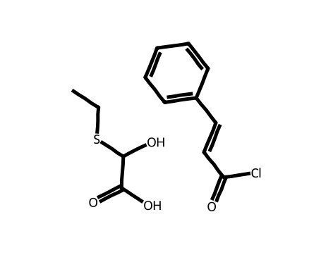 CCSC(O)C(=O)O.O=C(Cl)C=Cc1ccccc1